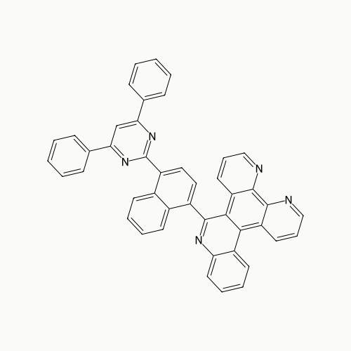 c1ccc(-c2cc(-c3ccccc3)nc(-c3ccc(-c4nc5ccccc5c5c6cccnc6c6ncccc6c45)c4ccccc34)n2)cc1